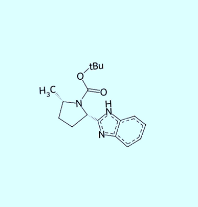 C[C@H]1CC[C@@H](c2nc3ccccc3[nH]2)N1C(=O)OC(C)(C)C